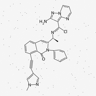 C[C@H](/N=C(\Cl)c1c(N)nn2cccnc12)c1cc2cccc(C#Cc3cnn(C)c3)c2c(=O)n1-c1ccccc1